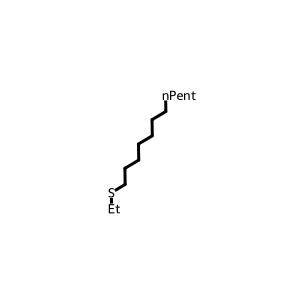 [CH2]CSCCCCCCCCCCCC